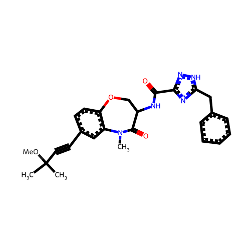 COC(C)(C)C#Cc1ccc2c(c1)N(C)C(=O)C(NC(=O)c1n[nH]c(Cc3ccccc3)n1)CO2